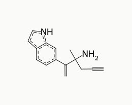 C#CCC(C)(N)C(=C)c1ccc2cc[nH]c2c1